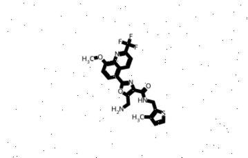 COc1ccc(-c2nc(C(=O)NCc3sccc3C)c(CN)o2)c2ccc(C(F)(F)F)nc12